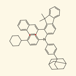 CC1(C)c2ccccc2-c2ccc(N(c3ccc(C4CCCCC4)cc3)c3ccc(C45CC6CC(CC(C6)C4)C5)cc3)c(-c3ccc4ccccc4c3)c21